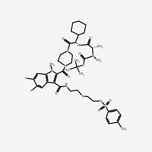 Cc1ccc(S(=O)(=O)OCCOCCNC(=O)c2c(C(=O)N3CCN(C(=O)[C@@H](NC(=O)[C@H](C)N(C)C(=O)OC(C)(C)C)C4CCCCC4)CC3)n(C)c3cc(F)c(F)cc23)cc1